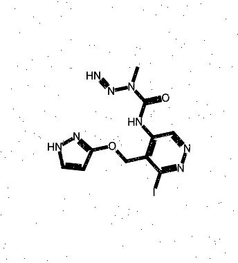 CN(N=N)C(=O)Nc1cnnc(I)c1COc1cc[nH]n1